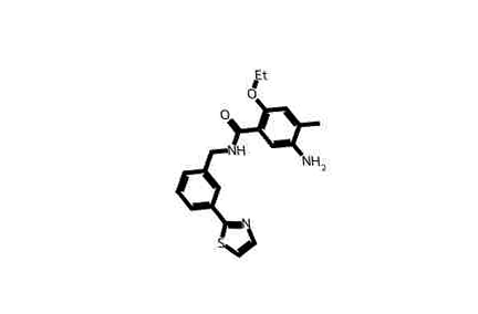 CCOc1cc(C)c(N)cc1C(=O)NCc1cccc(-c2nccs2)c1